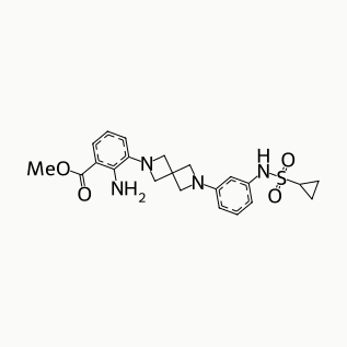 COC(=O)c1cccc(N2CC3(CN(c4cccc(NS(=O)(=O)C5CC5)c4)C3)C2)c1N